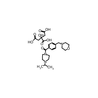 CC(C)N1CCN(C(=O)c2ccc(CN3CCOCC3)cc2)CC1.O=C(O)CC(O)(CC(=O)O)C(=O)O